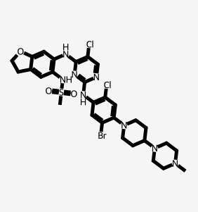 CN1CCN(C2CCN(c3cc(Cl)c(Nc4ncc(Cl)c(Nc5cc6c(cc5NS(C)(=O)=O)CCO6)n4)cc3Br)CC2)CC1